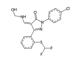 O=C1/C(=C\NCO)C(c2ccccc2SC(F)F)=NN1c1ccc(Cl)cc1